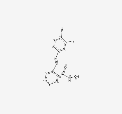 Cc1cc(C#Cc2ccccc2C(=O)NO)ccc1F